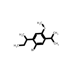 CCC(C)c1cc(SC)c(C(C)C)cc1Br